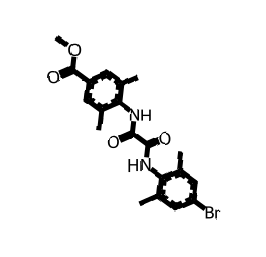 COC(=O)c1cc(C)c(NC(=O)C(=O)Nc2c(C)cc(Br)cc2C)c(C)c1